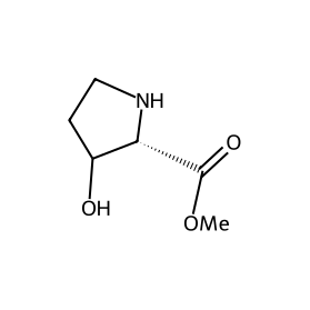 COC(=O)[C@H]1NCCC1O